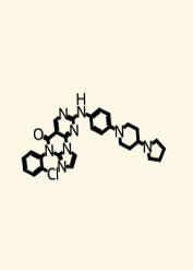 O=c1c2cnc(Nc3ccc(N4CCC(N5CCCC5)CC4)cc3)nc2n2ccnc2n1-c1ccccc1Cl